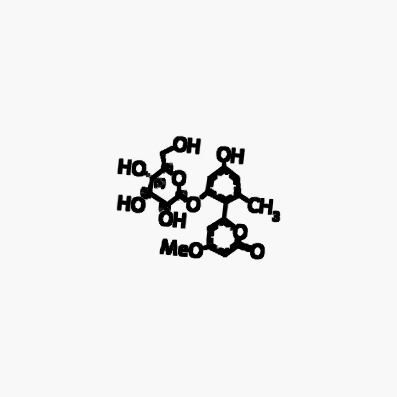 COc1cc(-c2c(C)cc(O)cc2O[C@@H]2O[C@H](CO)[C@@H](O)[C@H](O)[C@H]2O)oc(=O)c1